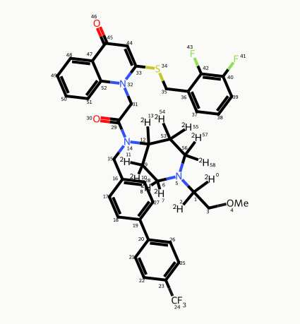 [2H]C([2H])(COC)N1C([2H])([2H])C([2H])([2H])C([2H])(N(Cc2ccc(-c3ccc(C(F)(F)F)cc3)cc2)C(=O)Cn2c(SCc3cccc(F)c3F)cc(=O)c3ccccc32)C([2H])([2H])C1([2H])[2H]